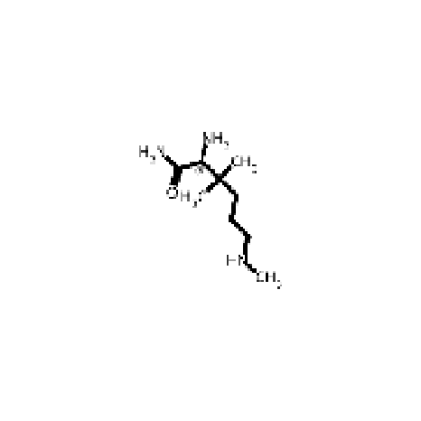 CNCCCC(C)(C)[C@H](N)C(N)=O